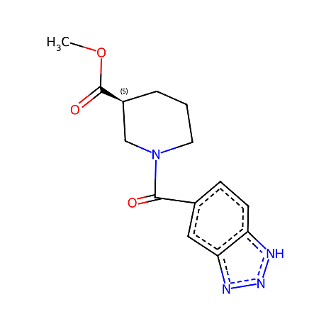 COC(=O)[C@H]1CCCN(C(=O)c2ccc3[nH]nnc3c2)C1